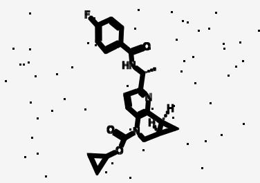 C[C@@H](NC(=O)c1ccc(F)cc1)c1ccc2c(n1)[C@H]1C[C@H]1CN2C(=O)OC1CC1